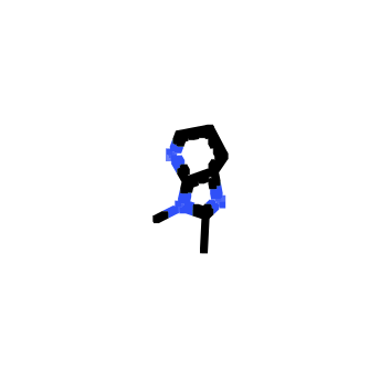 Cc1nc2cccnc2n1C